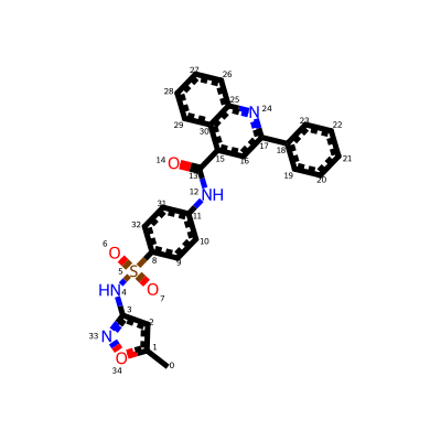 Cc1cc(NS(=O)(=O)c2ccc(NC(=O)c3cc(-c4ccccc4)nc4ccccc34)cc2)no1